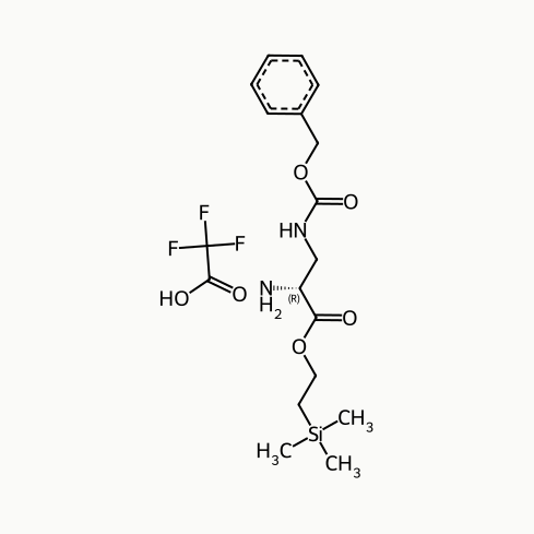 C[Si](C)(C)CCOC(=O)[C@H](N)CNC(=O)OCc1ccccc1.O=C(O)C(F)(F)F